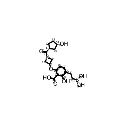 O=C(O)c1c(OC2CN(C(=O)[C@H]3CC[C@H](O)C3)C2)ccc(CCB(O)O)c1O